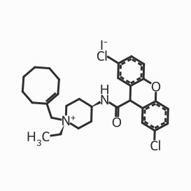 CC[N@+]1(C/C2=C/CCCCCC2)CC[C@H](NC(=O)C2c3cc(Cl)ccc3Oc3ccc(Cl)cc32)CC1.[I-]